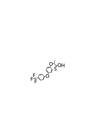 CC(Oc1ccc(Oc2ccc(C(F)(F)F)cc2)cc1)C(O)=S